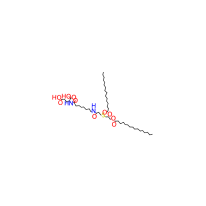 CCCCCCCCCCCCCCCC(=O)OCC(CSCCC(=O)NCCCCCCCC(=O)NC(CCC(=O)O)C(=O)O)OC(=O)CCCCCCCCCCCCCCC